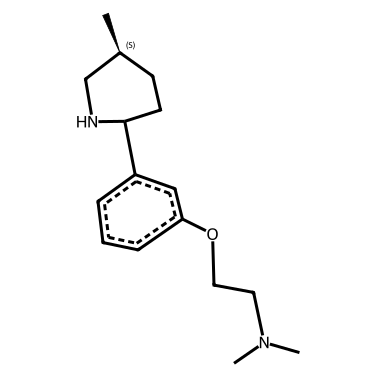 C[C@H]1CCC(c2cccc(OCCN(C)C)c2)NC1